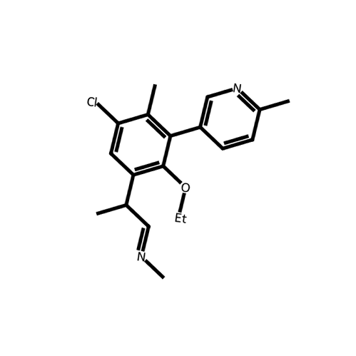 CCOc1c(C(C)/C=N/C)cc(Cl)c(C)c1-c1ccc(C)nc1